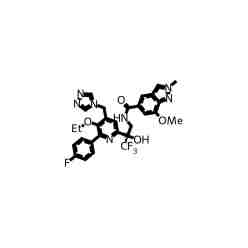 CCOc1c(Cn2cnnc2)cc([C@@](O)(CNC(=O)c2cc(OC)c3nn(C)cc3c2)C(F)(F)F)nc1-c1ccc(F)cc1